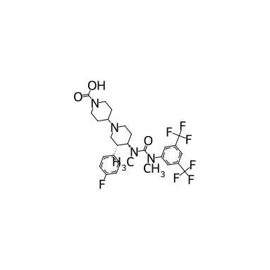 CN(C(=O)N(C)[C@@H]1CCN(C2CCN(C(=O)O)CC2)C[C@H]1c1ccc(F)cc1)c1cc(C(F)(F)F)cc(C(F)(F)F)c1